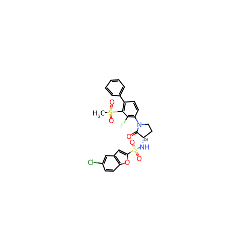 CS(=O)(=O)c1c(-c2ccccc2)ccc(N2CC[C@H](NS(=O)(=O)c3cc4cc(Cl)ccc4o3)C2=O)c1F